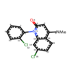 CNc1cc(=O)n(-c2ccccc2Cl)c2cc(Cl)ccc12